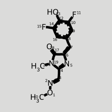 CO/N=C/C1=NC(=Cc2cc(F)c(O)c(F)c2)C(=O)N1C